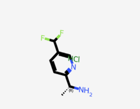 C[C@@H](N)c1ccc(C(F)F)cn1.Cl